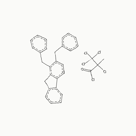 CC(Cl)(C(=O)Cl)C(Cl)(Cl)Cl.c1ccc(Cc2ccc3c(c2Cc2ccccc2)Cc2ccccc2-3)cc1